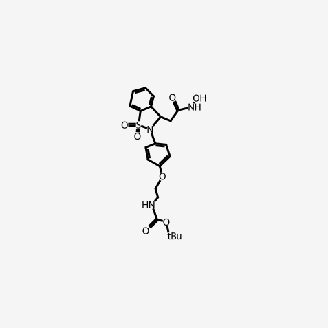 CC(C)(C)OC(=O)NCCOc1ccc(N2C(CC(=O)NO)c3ccccc3S2(=O)=O)cc1